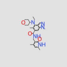 CCN(c1c(C)c(C(=O)NCc2c(C)cc(C)[nH]c2=O)cc2c1cnn2C)C1CCOCC1